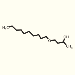 CCCCCCCCCCOCCC(C)O